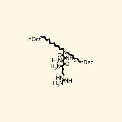 CCCCCCCC/C=C\CCCCCCCCN(CCCCCCCCCCCCCCCC)C(=O)C(N)C(N)C(=O)C(N)CCCNC(=N)N